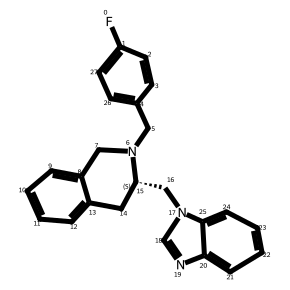 Fc1ccc(CN2Cc3ccccc3C[C@H]2Cn2cnc3ccccc32)cc1